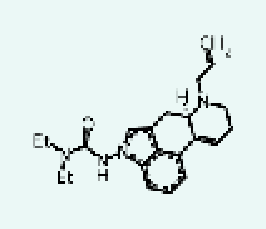 C=CCN1CCC=C2c3cccc4c3c(cn4NC(=O)N(CC)CC)C[C@H]21